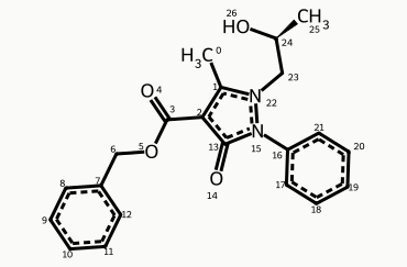 Cc1c(C(=O)OCc2ccccc2)c(=O)n(-c2ccccc2)n1C[C@H](C)O